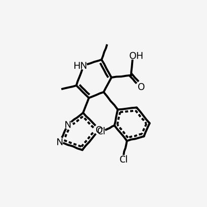 CC1=C(C(=O)O)C(c2cccc(Cl)c2Cl)C(c2nnco2)=C(C)N1